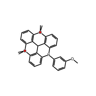 COc1cccc(N2c3cccc(OC)c3C(c3c(OC)cccc3OC)c3c(OC)cccc32)c1